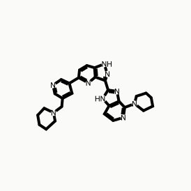 c1cc2[nH]c(-c3n[nH]c4ccc(-c5cncc(CN6CCCCC6)c5)nc34)nc2c(N2CCCCC2)n1